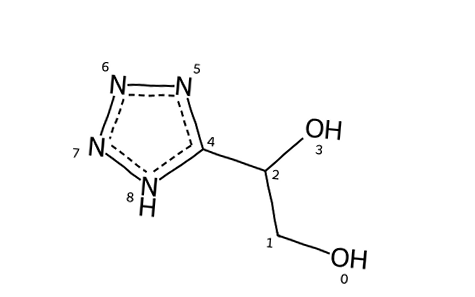 OCC(O)c1nnn[nH]1